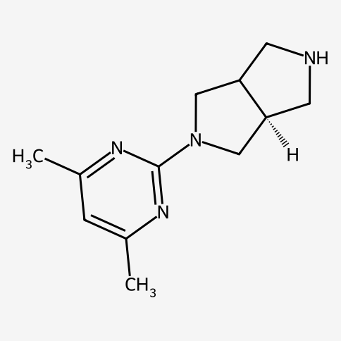 Cc1cc(C)nc(N2CC3CNC[C@H]3C2)n1